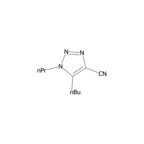 CCCCc1c(C#N)nnn1CCC